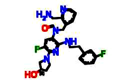 NCc1ncccc1CN(C=O)c1cc(F)c(N2CC[C@@H](O)C2)nc1NCCc1cccc(F)c1